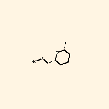 C[C@@H]1CCC[C@H](CSC#N)O1